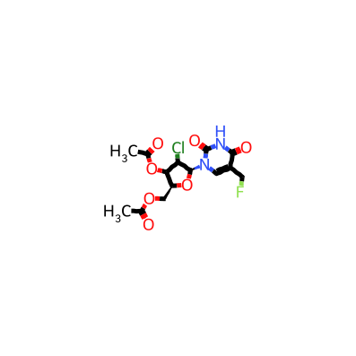 CC(=O)OC[C@@H]1O[C@H](n2cc(CF)c(=O)[nH]c2=O)C(Cl)C1OC(C)=O